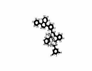 Cc1cc(C)cc(C(=N)SC(N)c2ccccc2C2=CC(c3cccc(C4=C5C=CCCC5C(c5ccccc5)C=C4)c3)NC(C3=CCCC=C3)=N2)c1